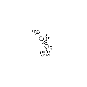 CO[C@H]1C[C@@H](S(=O)(=O)c2ccc(-c3cc[nH]n3)cc2C(F)(F)F)C[C@@H]1C(=O)NC1(C#N)CC1